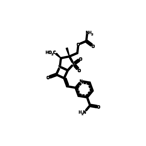 C[C@]1(COC(N)=O)[C@H](C(=O)O)N2C(=O)/C(=C/c3cc(C(N)=O)ccn3)C2S1(=O)=O